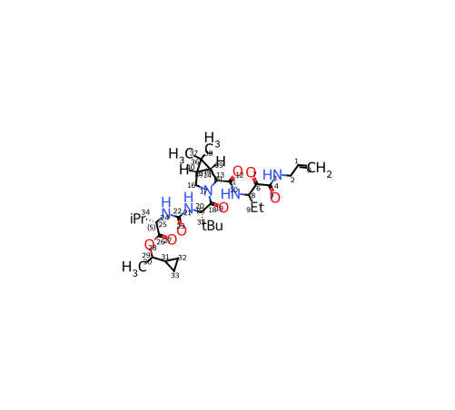 C=CCNC(=O)C(=O)C(CC)NC(=O)[C@@H]1[C@@H]2[C@H](CN1C(=O)[C@@H](NC(=O)N[C@H](C(=O)OC(C)C1CC1)C(C)C)C(C)(C)C)C2(C)C